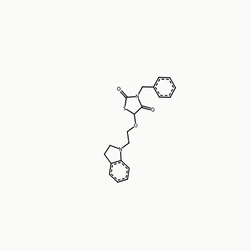 O=C1SC(OCCN2CCc3ccccc32)C(=O)N1Cc1ccccc1